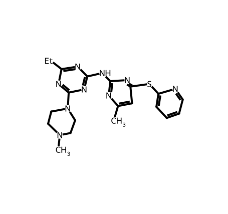 CCc1nc(Nc2nc(C)cc(Sc3ccccn3)n2)nc(N2CCN(C)CC2)n1